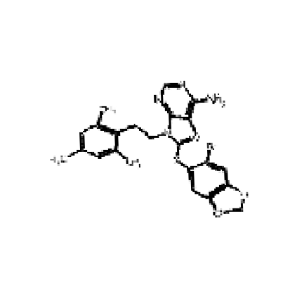 Cc1cc(C)c(CCn2c(Sc3cc4c(cc3Br)OCO4)nc3c(N)ncnc32)c(C)c1